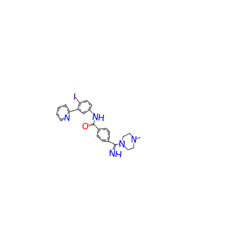 CN1CCN(C(=N)c2ccc(C(=O)Nc3ccc(I)c(-c4ccccn4)c3)cc2)CC1